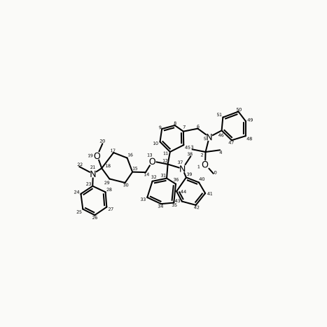 COC(C)(C)N(Cc1cccc(C(OCC2CCC(OC)(N(C)c3ccccc3)CC2)(c2ccccc2)N(C)c2ccccc2)c1)c1ccccc1